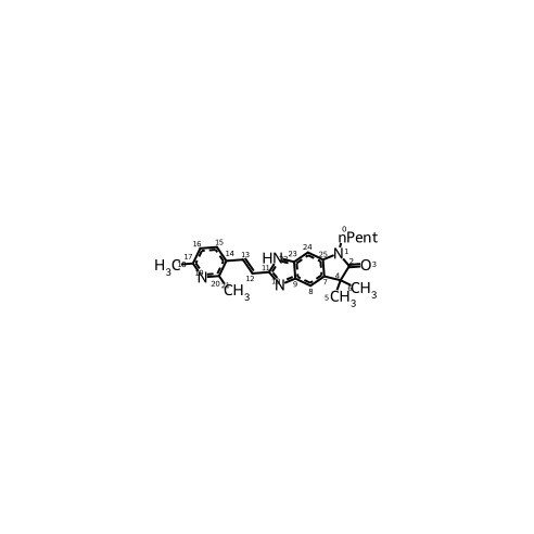 CCCCCN1C(=O)C(C)(C)c2cc3nc(/C=C/c4ccc(C)nc4C)[nH]c3cc21